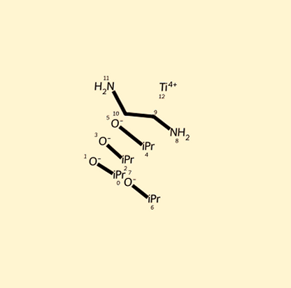 CC(C)[O-].CC(C)[O-].CC(C)[O-].CC(C)[O-].NCCN.[Ti+4]